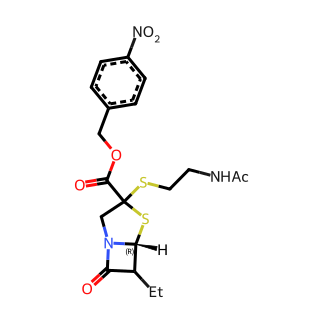 CCC1C(=O)N2CC(SCCNC(C)=O)(C(=O)OCc3ccc([N+](=O)[O-])cc3)S[C@H]12